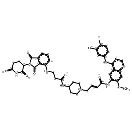 COc1cc2ncnc(Nc3ccc(F)c(Cl)c3)c2cc1NC(=O)/C=C/CN1CCC(NC(=O)CCNc2cccc3c2C(=O)N(C2CCC(=O)NC2=O)C3=O)CC1